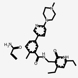 C=CC(N)=O.CCc1cc(CC)c(CNC(=O)c2cc(-c3ccc(N4CCN(C)CC4)nc3)ccc2C)c(=O)[nH]1